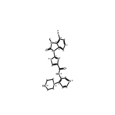 Cn1c(=O)n(-c2nc(C(=O)Nc3cnccc3N3CCNCC3)cs2)c2cccc(F)c21